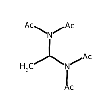 CC(=O)N(C(C)=O)C(C)N(C(C)=O)C(C)=O